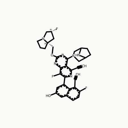 C#Cc1c(F)ccc2cc(O)cc(-c3nc(C#C)c4c(N5CC6CCC(C5)N6)nc(OC[C@]56CCCN5C[C@H](F)C6)nc4c3F)c12